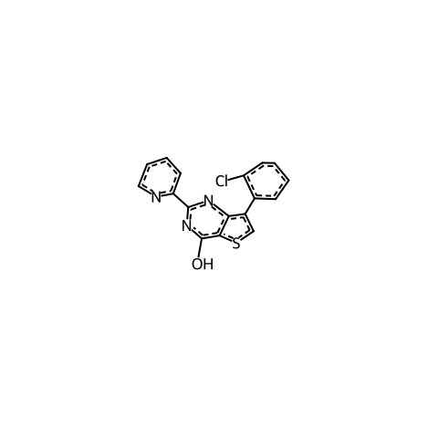 Oc1nc(-c2ccccn2)nc2c(-c3ccccc3Cl)csc12